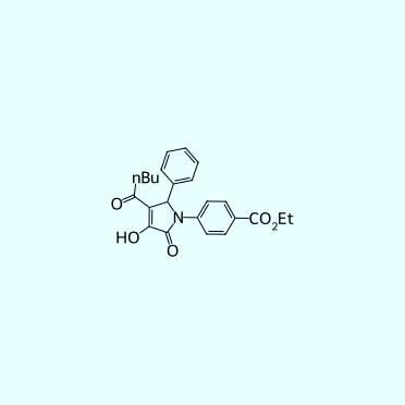 CCCCC(=O)C1=C(O)C(=O)N(c2ccc(C(=O)OCC)cc2)C1c1ccccc1